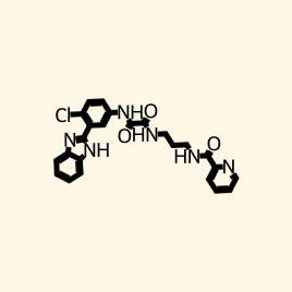 O=C(NCCCNC(=O)c1ccccn1)C(=O)Nc1ccc(Cl)c(-c2nc3ccccc3[nH]2)c1